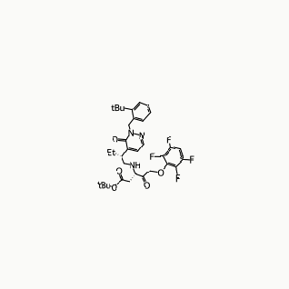 CC[C@@H](CN[C@@H](CC(=O)OC(C)(C)C)C(=O)COc1c(F)c(F)cc(F)c1F)c1ccnn(Cc2ccccc2C(C)(C)C)c1=O